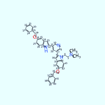 CN(C)CCn1c(-c2cncc(-c3cc4cc(OCc5ccccc5)ccc4[nH]3)c2)cc2cc(OCc3ccccc3)ccc21